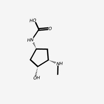 CN[C@H]1C[C@@H](NC(=O)O)C[C@H]1O